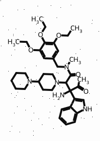 CCOc1cc(CN(C)C(=O)C(N2CCC(N3CCCCC3)CC2)C(N)(C(C)=O)c2c[nH]c3ccccc23)cc(OCC)c1OCC